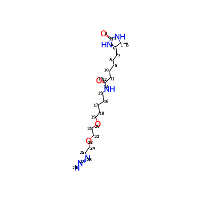 C[C@@H]1NC(=O)N[C@@H]1CCCCCC(=O)NCCCCCOCCOCCN=[N+]=[N-]